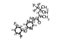 CN(CC(C)(O)C(F)(F)F)C(=O)Nc1cnc(Oc2cc(F)ccc2F)cn1